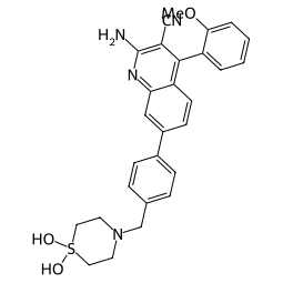 COc1ccccc1-c1c(C#N)c(N)nc2cc(-c3ccc(CN4CCS(O)(O)CC4)cc3)ccc12